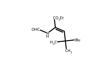 CCOC(=O)/C(=C/C(C)(C)C(C)(C)C)NC=O